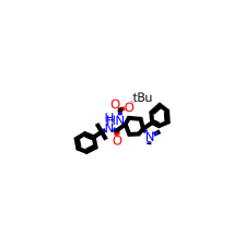 CN(C)C1(c2ccccc2)CCC(NC(=O)OC(C)(C)C)(C(=O)NC(C)(C)c2ccccc2)CC1